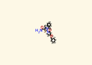 CC1=C(C(N)=O)SC(n2ccc(OCc3ccccc3)cc2=O)N1Cc1ccccc1